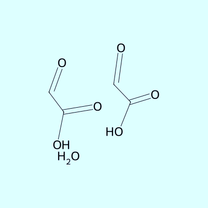 O.O=CC(=O)O.O=CC(=O)O